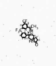 C[C@H](OC[C@]1(c2ccccc2)CC[C@]2(CCC(=O)N2)CN1)c1cc(C(F)(F)F)cc(C(F)(F)F)c1